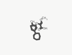 CO/C=C(\Oc1cc(C2CCCCCC2)ccc1C)C(=O)O